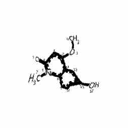 COc1cc(=O)n(C)c2ccc(O)cc12